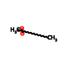 CCCCCCCCCCCCCCCCCC(=O)C(=O)CC